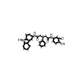 CCn1c2ccccc2c2cc(NC(=O)CC(CC(=O)Nc3ccc(C#N)c(Cl)c3)c3ccccc3)ccc21